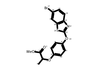 COC(=O)C(C)Oc1ccc(Oc2nc3ccc(Br)cc3s2)cc1